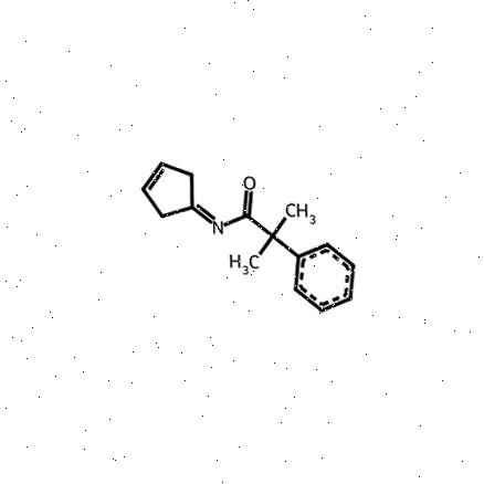 CC(C)(C(=O)N=C1CC=CC1)c1ccccc1